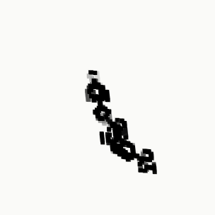 O=C(O[C@@H]1C2CC3C[C@H]1C[C@@](C(=O)O)(C3)C2)N1CCC(c2ncc(Cl)cn2)C1